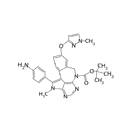 Cn1ccc(Oc2ccc3c(c2)CN(C(=O)OC(C)(C)C)c2ncnc4c2c-3c(-c2ccc(N)cc2)n4C)n1